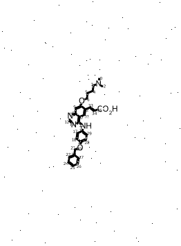 CN(C)CCCCOc1cc2ncnc(Nc3ccc(OCc4ccccc4)cc3)c2cc1C=CC(=O)O